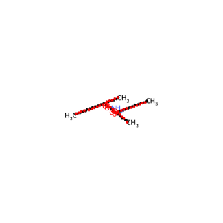 CCCCCCCCCCCCCCCCCCCCCCC(CCCCCCCCCC)C(=O)OC(=O)CCC(N)C(=O)OC(=O)C(CCCCCCCCCC)CCCCCCCCCCCCCCCCCCCCCC